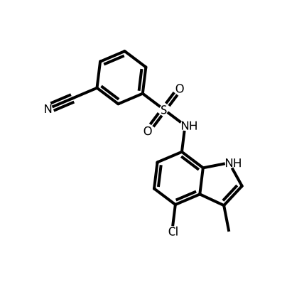 Cc1c[nH]c2c(NS(=O)(=O)c3cccc(C#N)c3)ccc(Cl)c12